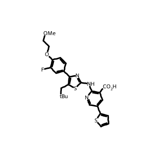 COCCOc1ccc(-c2nc(Nc3ncc(-c4cccs4)cc3C(=O)O)sc2CC(C)(C)C)cc1F